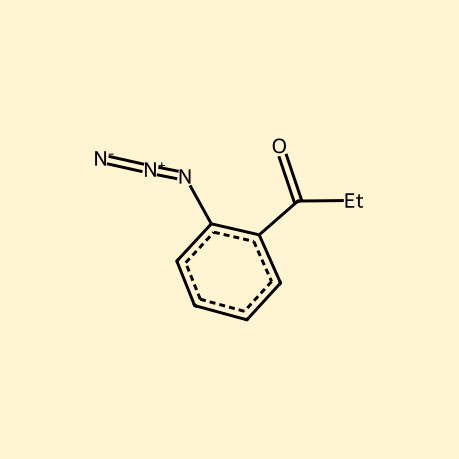 CCC(=O)c1ccccc1N=[N+]=[N-]